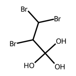 OC(O)(O)C(Br)C(Br)Br